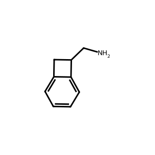 NCC1Cc2ccccc21